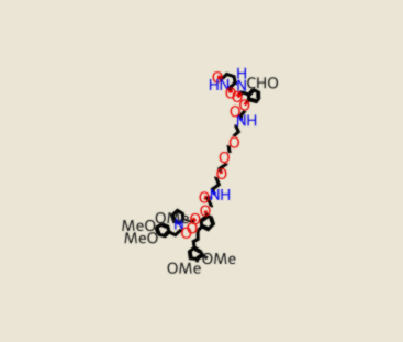 COc1ccc(CCC(OC(=O)[C@@H]2CCCCN2C(=O)Cc2cc(OC)c(OC)c(OC)c2)c2cccc(OCC(=O)NCCCOCCOCCOCCCNC(=O)COc3cccc(C=O)c3C(=O)NC3CCC(=O)NC3=O)c2)cc1OC